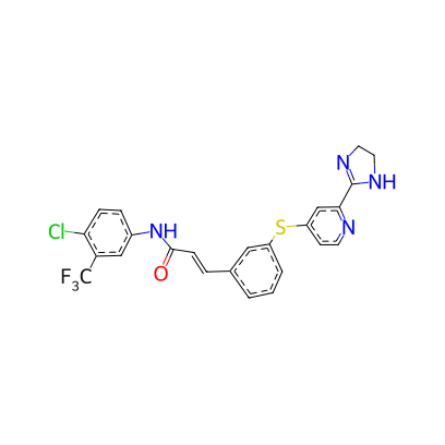 O=C(C=Cc1cccc(Sc2ccnc(C3=NCCN3)c2)c1)Nc1ccc(Cl)c(C(F)(F)F)c1